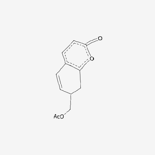 CC(=O)OCC1C=Cc2ccc(=O)oc2C1